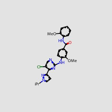 COc1ccccc1NC(=O)c1ccc(Nc2ncc(Cl)c(-c3ccn(C(C)C)n3)n2)c(OC)c1